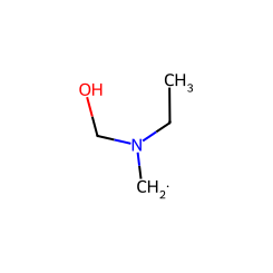 [CH2]N(CC)CO